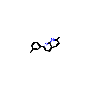 Cc1cccc(-c2ccc3ccc(C)nc3n2)c1